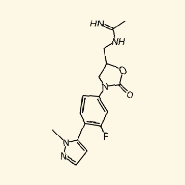 CC(=N)NCC1CN(c2ccc(-c3ccnn3C)c(F)c2)C(=O)O1